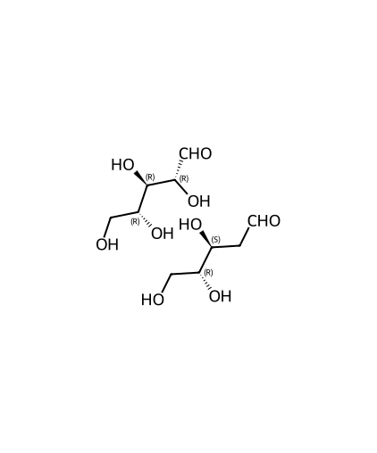 O=CC[C@H](O)[C@H](O)CO.O=C[C@H](O)[C@H](O)[C@H](O)CO